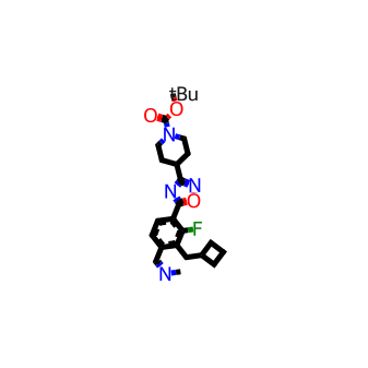 C/N=C\c1ccc(-c2nc(C3CCN(C(=O)OC(C)(C)C)CC3)no2)c(F)c1CC1CCC1